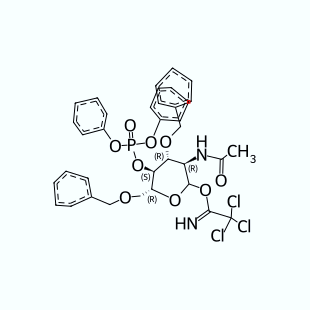 CC(=O)N[C@H]1C(OC(=N)C(Cl)(Cl)Cl)O[C@H](COCc2ccccc2)[C@@H](OP(=O)(Oc2ccccc2)Oc2ccccc2)[C@@H]1OCc1ccccc1